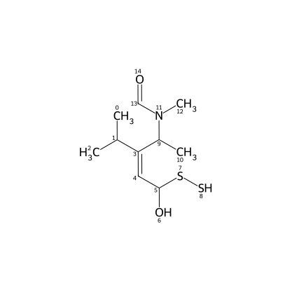 CC(C)C(=CC(O)SS)C(C)N(C)C=O